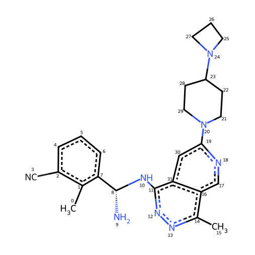 Cc1c(C#N)cccc1[C@@H](N)Nc1nnc(C)c2cnc(N3CCC(N4CCC4)CC3)cc12